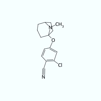 CN1C2CCCC1(Oc1ccc(C#N)c(Cl)c1)CC2